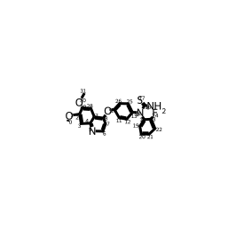 COc1cc2nccc(Oc3ccc(N(C(N)=S)c4ccccc4F)cc3)c2cc1OC